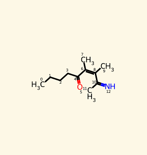 CCCCC(=O)/C(C)=C(/C)C(C)=N